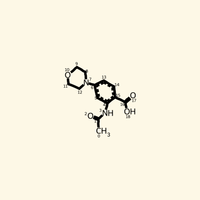 CC(=O)Nc1cc(N2CCOCC2)ccc1C(=O)O